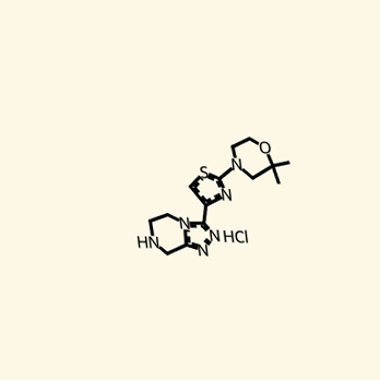 CC1(C)CN(c2nc(-c3nnc4n3CCNC4)cs2)CCO1.Cl